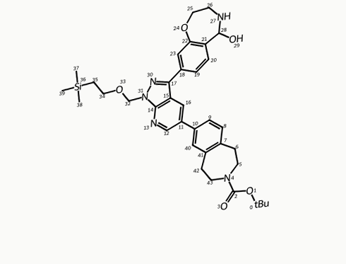 CC(C)(C)OC(=O)N1CCc2ccc(-c3cnc4c(c3)c(-c3ccc5c(c3)OCCNC5O)nn4COCC[Si](C)(C)C)cc2CC1